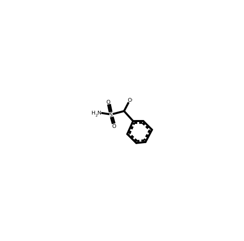 NS(=O)(=O)C([O])c1ccccc1